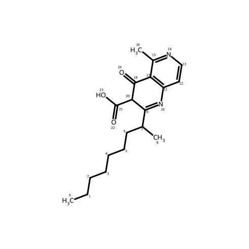 CCCCCCCC(C)C1=Nc2ccnc(C)c2C(=O)C1C(=O)O